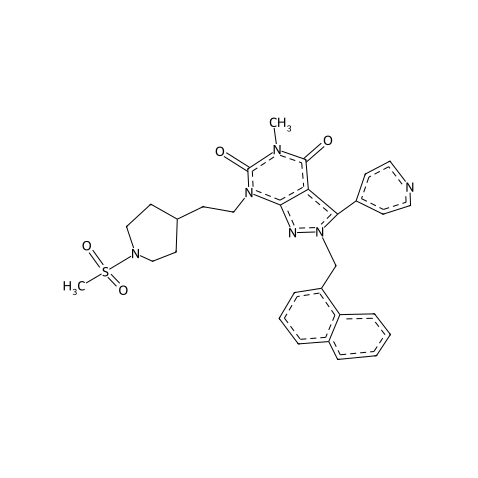 Cn1c(=O)c2c(-c3ccncc3)n(Cc3cccc4ccccc34)nc2n(CCC2CCN(S(C)(=O)=O)CC2)c1=O